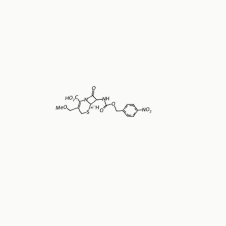 COCC1=C(C(=O)O)N2C(=O)C(NC(=O)OCc3ccc([N+](=O)[O-])cc3)[C@H]2SC1